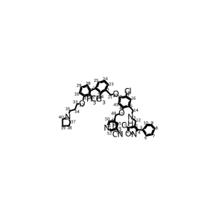 Cc1onc(-c2ccccc2)c1CNCc1cc(Cl)c(OCc2cccc(-c3cccc(OCCCN4CCCC4)c3C)c2C)cc1OCc1cncc(C#N)c1